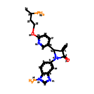 C=C1C(=O)N(c2ccc3c(c2)ncn3P)C1c1ccc(OCCC(C)P)nc1